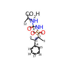 C/C(=C(/C)S(=O)(=O)NC(=O)NC(C)C(=O)O)c1ccccc1